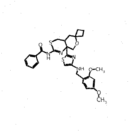 COc1ccc(CNc2csc(C34COC5(CCC5)CC3CSC(NC(=O)c3ccccc3)=N4)n2)c(OC)c1